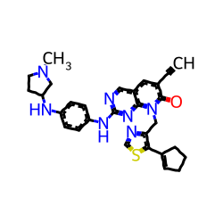 C#Cc1cc2cnc(Nc3ccc(NC4CCN(C)C4)cc3)nc2n(Cc2ncsc2C2=CCCC2)c1=O